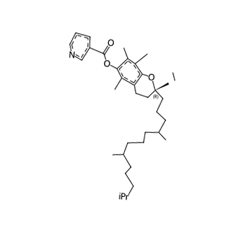 CC.Cc1c(C)c2c(c(C)c1OC(=O)c1cccnc1)CC[C@@](C)(CCCC(C)CCCC(C)CCCC(C)C)O2